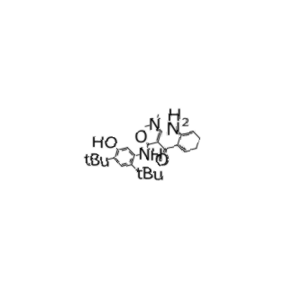 CN(C)/C=C(\C(=O)Nc1cc(O)c(C(C)(C)C)cc1C(C)(C)C)C(=O)C1=CCCC=C1N